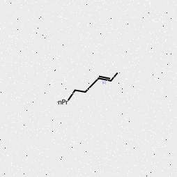 [CH2]/C=C/CC[CH]CC